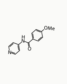 COc1ccc(C(=O)Nc2ccncc2)cc1